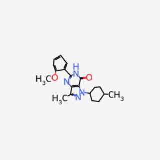 COc1ccccc1-c1nc2c(C)nn(C3CCC(C)CC3)c2c(=O)[nH]1